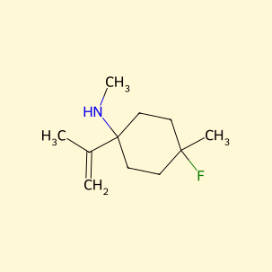 C=C(C)C1(NC)CCC(C)(F)CC1